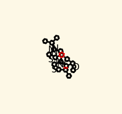 c1ccc(-c2cccc(-c3ccc4sc5cccc(-c6nc(-c7ccccc7)nc(-c7cccc(-c8c(-c9ccc(-c%10cccc(-c%11ccc%12sc%13cccc(-c%14nc(-c%15ccccc%15)nc(-c%15cc(-c%16ccccc%16)cc(-c%16ccccc%16)c%15)n%14)c%13c%12c%11)c%10)cc9)ccc9oc%10ccccc%10c89)c7)n6)c5c4c3)c2)cc1